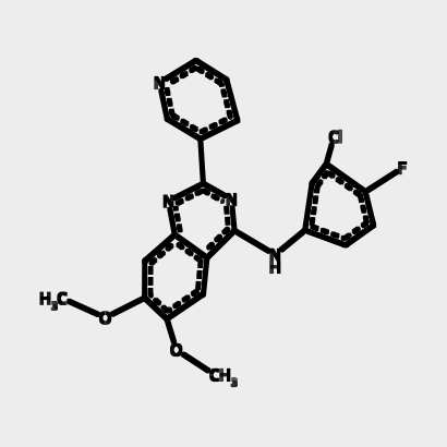 COc1cc2nc(-c3cccnc3)nc(Nc3ccc(F)c(Cl)c3)c2cc1OC